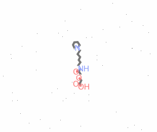 O=C(O)COCC(=O)NCCCCCCN1CCCCC1